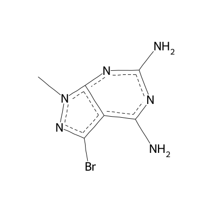 Cn1nc(Br)c2c(N)nc(N)nc21